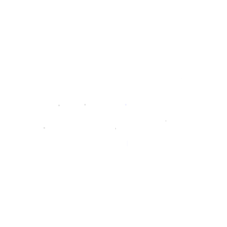 CCOc1ccnc(C2=CCOCC2)n1